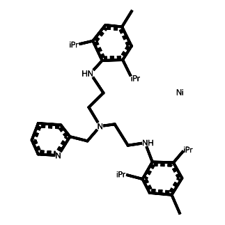 Cc1cc(C(C)C)c(NCCN(CCNc2c(C(C)C)cc(C)cc2C(C)C)Cc2ccccn2)c(C(C)C)c1.[Ni]